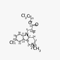 CN1C2CCC1c1c(n(CC(F)C(=O)OCC(Cl)(Cl)Cl)c3ccc(Cl)cc13)C2